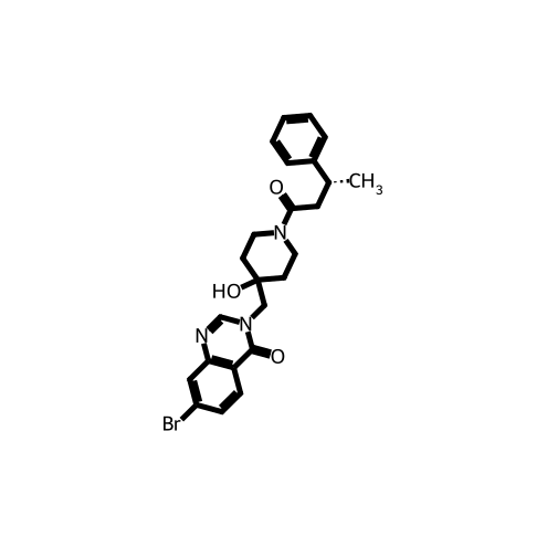 C[C@H](CC(=O)N1CCC(O)(Cn2cnc3cc(Br)ccc3c2=O)CC1)c1ccccc1